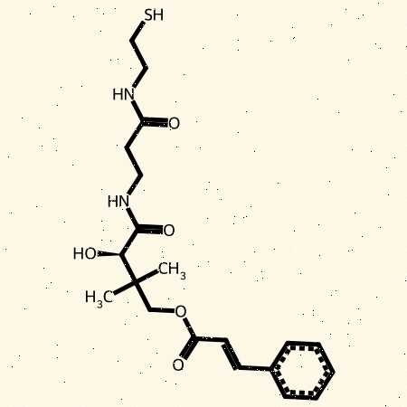 CC(C)(COC(=O)/C=C/c1ccccc1)[C@@H](O)C(=O)NCCC(=O)NCCS